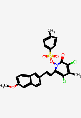 COc1ccc2cc(/C=C/c3c(Cl)c(C)c(Cl)c(=O)n3OS(=O)(=O)c3ccc(C)cc3)ccc2c1